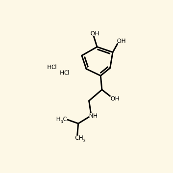 CC(C)NCC(O)c1ccc(O)c(O)c1.Cl.Cl